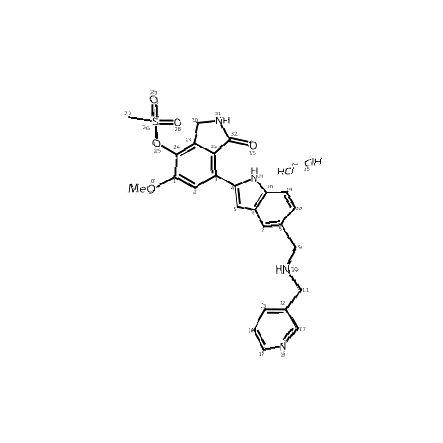 COc1cc(-c2cc3cc(CNCc4cccnc4)ccc3[nH]2)c2c(c1OS(C)(=O)=O)CNC2=O.Cl.Cl